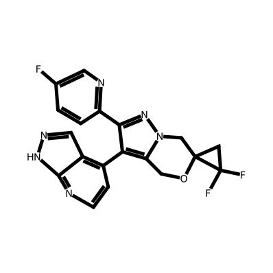 Fc1ccc(-c2nn3c(c2-c2ccnc4[nH]ncc24)COC2(C3)CC2(F)F)nc1